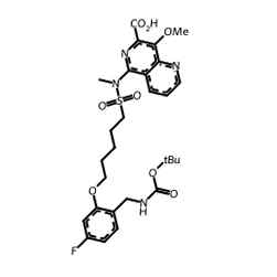 COc1c(C(=O)O)nc(N(C)S(=O)(=O)CCCCCOc2cc(F)ccc2CNC(=O)OC(C)(C)C)c2cccnc12